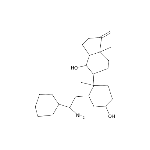 C=C1CCC2C(O)C(C3(C)CCC(O)CC3CC(N)C3CCCCC3)CCC12C